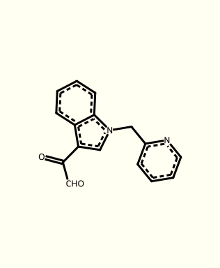 O=CC(=O)c1cn(Cc2ccccn2)c2ccccc12